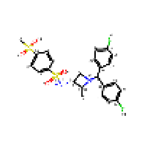 C[C@H]1[C@H](NS(=O)(=O)c2ccc(S(C)(=O)=O)cc2)CN1C(c1ccc(Cl)cc1)c1ccc(Cl)cc1